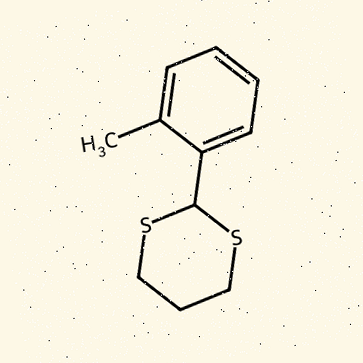 Cc1ccccc1C1SCCCS1